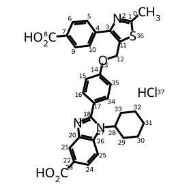 Cc1nc(-c2ccc(C(=O)O)cc2)c(COc2ccc(-c3nc4cc(C(=O)O)ccc4n3C3CCCCC3)cc2)s1.Cl